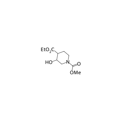 CCOC(=O)C1CCN(C(=O)OC)CC1O